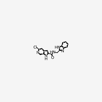 O=C(NCc1nc2ccccc2[nH]1)c1cc2cc(Cl)ncc2[nH]1